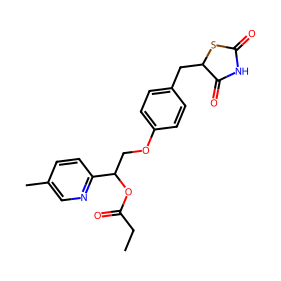 CCC(=O)OC(COc1ccc(CC2SC(=O)NC2=O)cc1)c1ccc(C)cn1